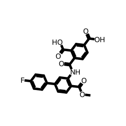 COC(=O)c1ccc(-c2ccc(F)cc2)cc1NC(=O)c1ccc(C(=O)O)cc1C(=O)O